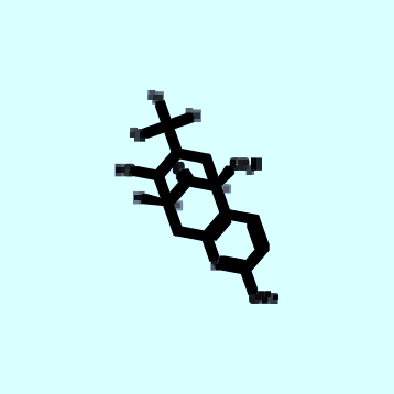 [2H]C([2H])([2H])C1C[C@@]2(C(=O)O)C(=O)[C@H](Cc3nc(OC)ccc32)C1O